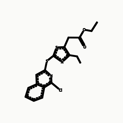 CCOC(=O)Cc1sc(Sc2cc3ccccc3c(Cl)n2)nc1CC